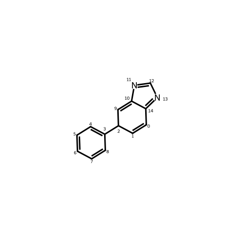 C1=CC(c2ccccc2)C=C2N=CN=C12